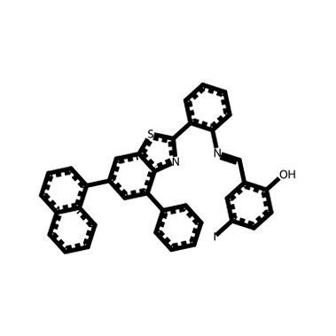 Oc1ccc(I)cc1/C=N/c1ccccc1-c1nc2c(-c3ccccc3)cc(-c3cccc4ccccc34)cc2s1